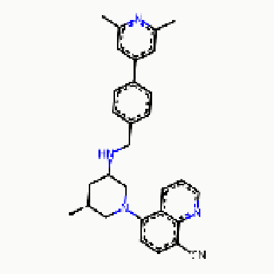 Cc1cc(-c2ccc(CN[C@@H]3C[C@H](C)CN(c4ccc(C#N)c5ncccc45)C3)cc2)cc(C)n1